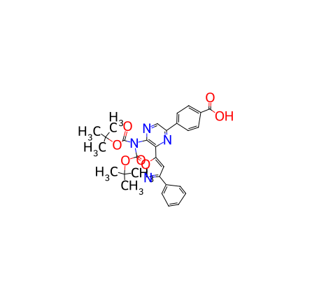 CC(C)(C)OC(=O)N(C(=O)OC(C)(C)C)c1ncc(-c2ccc(C(=O)O)cc2)nc1-c1cc(-c2ccccc2)no1